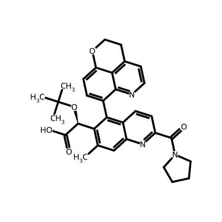 Cc1cc2nc(C(=O)N3CCCC3)ccc2c(-c2ccc3c4c(ccnc24)CCO3)c1[C@H](OC(C)(C)C)C(=O)O